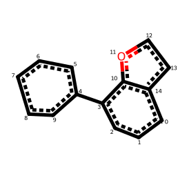 [c]1ccc(-c2ccccc2)c2occc12